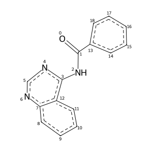 O=C(Nc1ncnc2ccccc12)c1ccccc1